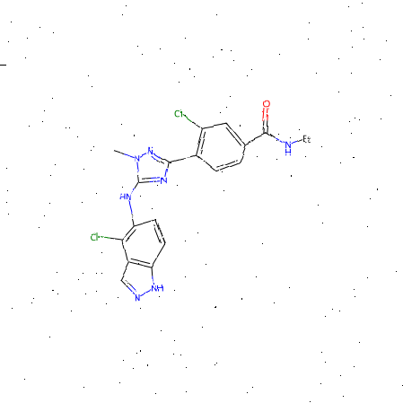 CCNC(=O)c1ccc(-c2nc(Nc3ccc4[nH]ncc4c3Cl)n(C)n2)c(Cl)c1